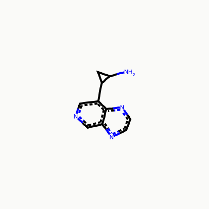 NC1CC1c1cncc2nccnc12